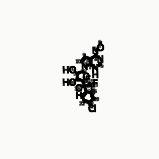 CON=c1nc[nH]c2c1ccn2[C@@H]1OC(C(O)(c2ccc(Cl)cc2)C(F)(F)F)[C@@H](O)[C@H]1O